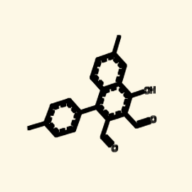 Cc1ccc(-c2c(C=O)c(C=O)c(O)c3cc(C)ccc23)cc1